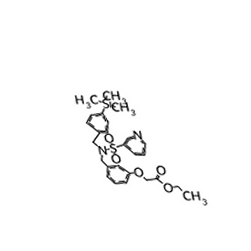 CCOC(=O)COc1cccc(CN(Cc2ccc([Si](C)(C)C)cc2)S(=O)(=O)c2cccnc2)c1